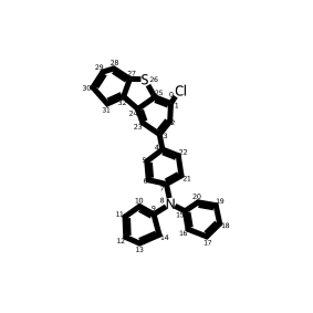 Clc1cc(-c2ccc(N(c3ccccc3)c3ccccc3)cc2)cc2c1sc1ccccc12